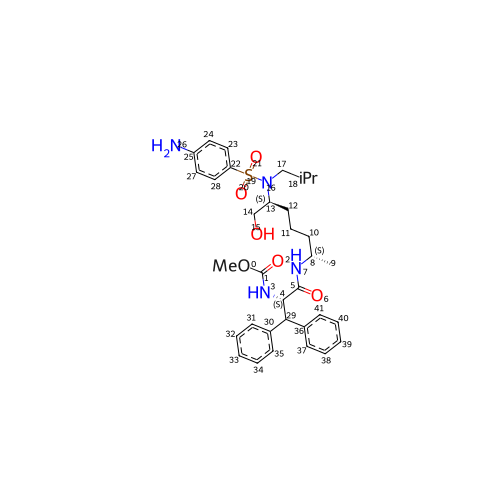 COC(=O)N[C@H](C(=O)N[C@@H](C)CCC[C@@H](CO)N(CC(C)C)S(=O)(=O)c1ccc(N)cc1)C(c1ccccc1)c1ccccc1